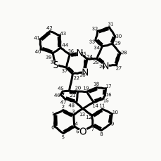 c1ccc2c(c1)Oc1ccccc1C21c2ccccc2-c2c(-c3nc(-c4nccc5ccccc45)nc4c3sc3ccccc34)cccc21